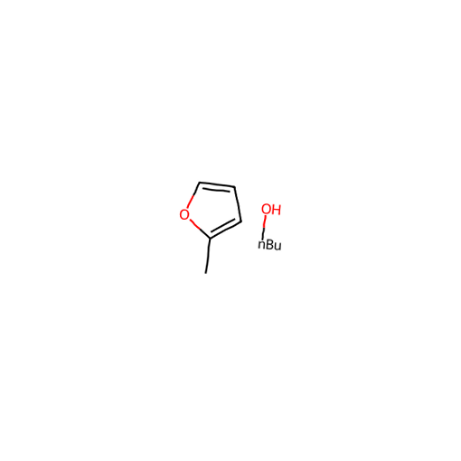 CCCCO.Cc1ccco1